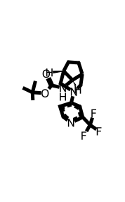 CC(C)(C)OC(=O)N[C@@H]1C2CC[C@H]1CN(c1ccnc(C(F)(F)F)c1)C2